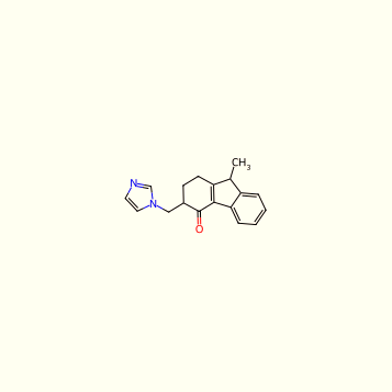 CC1C2=C(C(=O)C(Cn3ccnc3)CC2)c2ccccc21